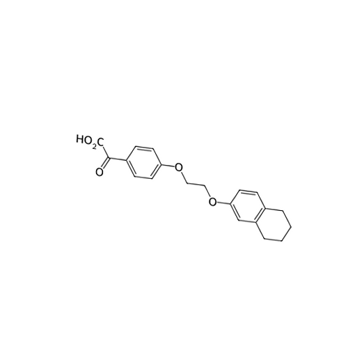 O=C(O)C(=O)c1ccc(OCCOc2ccc3c(c2)CCCC3)cc1